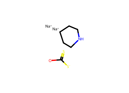 C1CCNCC1.[Na+].[Na+].[O-]C(=S)[S-]